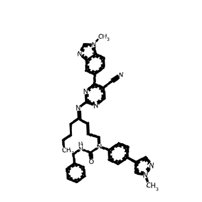 CCCC/C(CCCN(C(=O)NCc1ccccc1)c1ccc(-c2cnn(C)c2)cc1)=N/c1ncc(C#N)c(-c2ccc3c(c2)ncn3C)n1